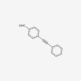 O=[C]c1ccc(C#Cc2ccccc2)cc1